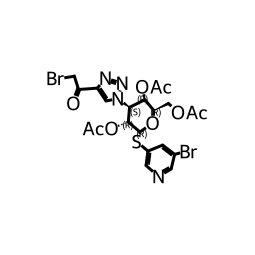 CC(=O)OC[C@H]1O[C@H](Sc2cncc(Br)c2)[C@H](OC(C)=O)[C@@H](n2cc(C(=O)CBr)nn2)[C@H]1OC(C)=O